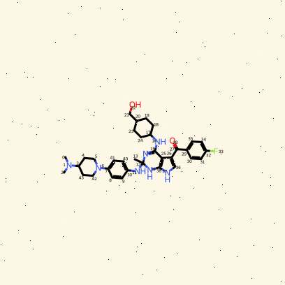 CN(C)C1CCN(c2ccc(NC3(C)N=C(NC4CCC(CO)CC4)c4c(C(=O)c5ccc(F)cc5)c[nH]c4N3)cc2)CC1